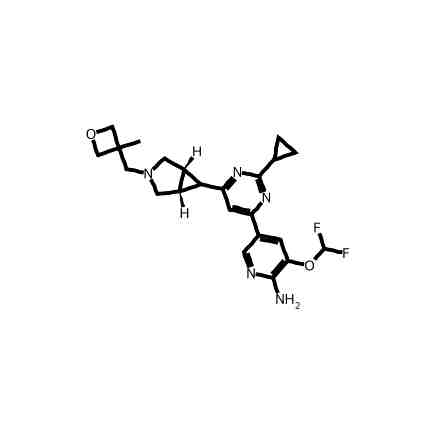 CC1(CN2C[C@@H]3C(c4cc(-c5cnc(N)c(OC(F)F)c5)nc(C5CC5)n4)[C@@H]3C2)COC1